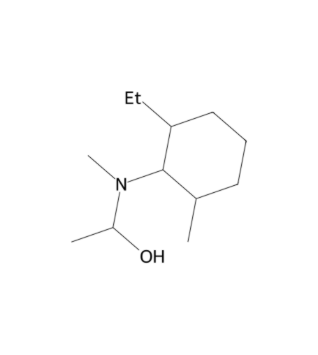 CCC1CCCC(C)C1N(C)C(C)O